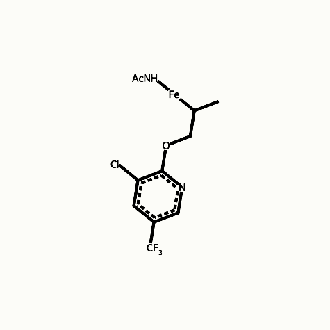 CC(=O)[NH][Fe][CH](C)COc1ncc(C(F)(F)F)cc1Cl